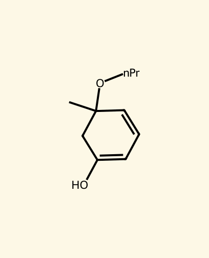 CCCOC1(C)C=CC=C(O)C1